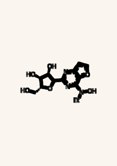 CCN(O)c1nc(C2O[C@H](CO)[C@@H](O)[C@H]2O)nc2ccoc12